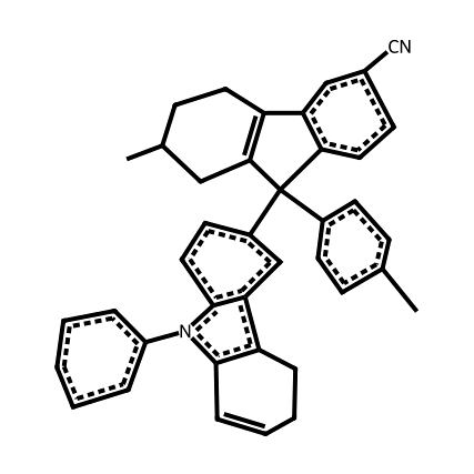 Cc1ccc(C2(c3ccc4c(c3)c3c(n4-c4ccccc4)C=CCC3)C3=C(CCC(C)C3)c3cc(C#N)ccc32)cc1